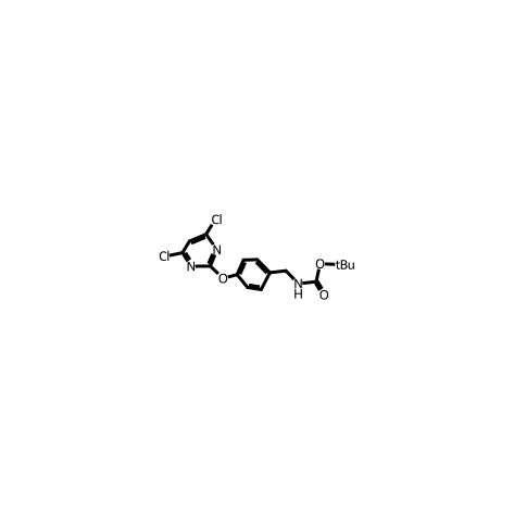 CC(C)(C)OC(=O)NCc1ccc(Oc2nc(Cl)cc(Cl)n2)cc1